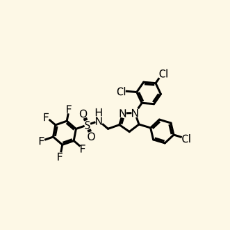 O=S(=O)(NCC1=NN(c2ccc(Cl)cc2Cl)C(c2ccc(Cl)cc2)C1)c1c(F)c(F)c(F)c(F)c1F